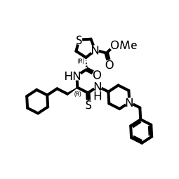 COC(=O)N1CSC[C@H]1C(=O)N[C@H](CCC1CCCCC1)C(=S)NC1CCN(Cc2ccccc2)CC1